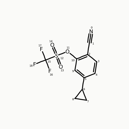 N#Cc1ccc(C2CC2)cc1OS(=O)(=O)C(F)(F)F